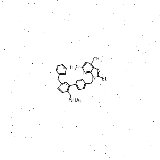 CCc1nc2c(C)cc(C)nc2n1Cc1ccc(-c2cc(Cc3ccccc3)ccc2CNC(C)=O)cc1